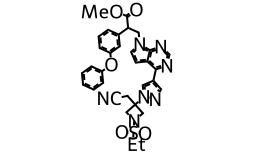 CCS(=O)(=O)N1CC(CC#N)(n2cc(-c3ncnc4c3ccn4CC(C(=O)OC)c3cccc(Oc4ccccc4)c3)cn2)C1